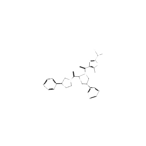 Cc1oc(C(C)N)nc1C(=O)N1CC(c2ccccc2)CC1C(=O)N1CCC(c2ccccc2)C1